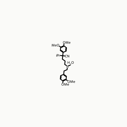 COc1ccc(CCN(C)CCCC(C#N)(c2ccc(OC)c(OC)c2)C(C)C)cc1OC.O